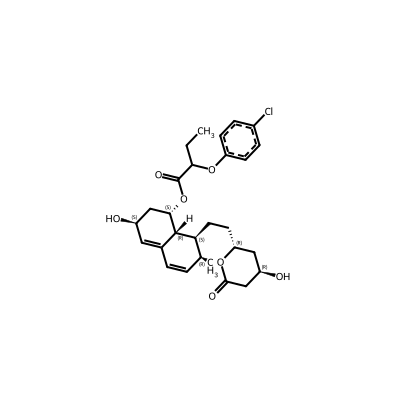 CCC(Oc1ccc(Cl)cc1)C(=O)O[C@H]1C[C@H](O)C=C2C=C[C@H](C)[C@H](CC[C@@H]3C[C@@H](O)CC(=O)O3)[C@H]21